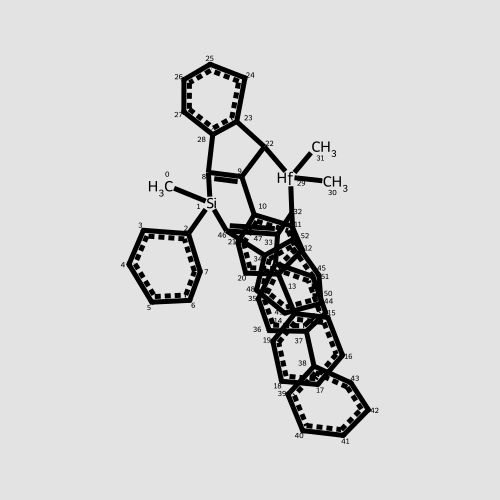 C[Si]1(c2ccccc2)C2=C(c3ccc(-c4ccccc4)cc3)[CH](c3ccccc32)[Hf]([CH3])([CH3])[CH]2C(c3ccc(-c4ccccc4)cc3)=C1c1ccccc12